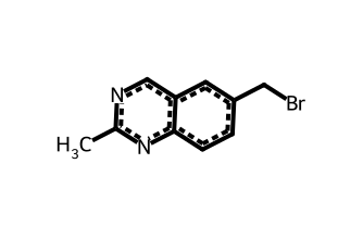 Cc1ncc2cc(CBr)ccc2n1